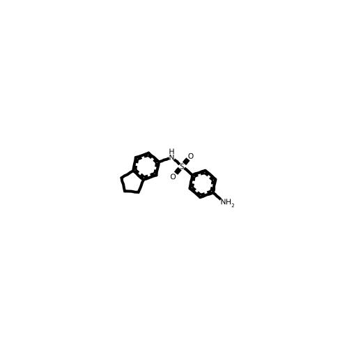 Nc1ccc(S(=O)(=O)Nc2ccc3c(c2)CCC3)cc1